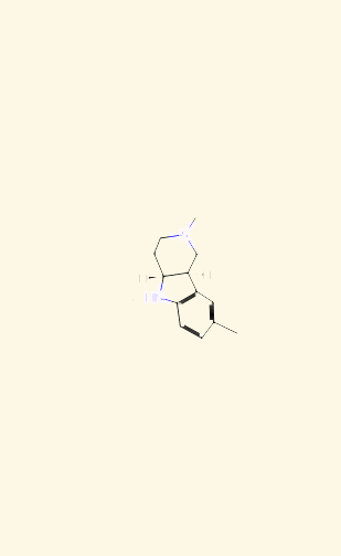 Cc1ccc2c(c1)[C@@H]1CN(C)CC[C@H]1N2.Cl.Cl